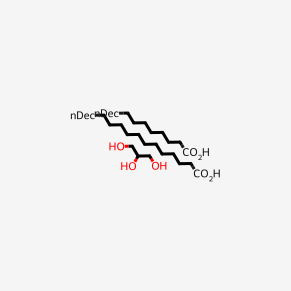 CCCCCCCCCCCCCCCCCC(=O)O.CCCCCCCCCCCCCCCCCCCCCC(=O)O.OCC(O)CO